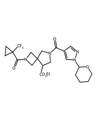 CCOC(=O)C1CN(C(=O)c2cnn(C3CCCCO3)c2)CC12CN(C(=O)C1(C(F)(F)F)CC1)C2